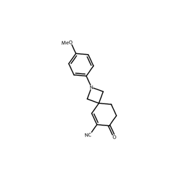 COc1ccc(N2CC3(C=C(C#N)C(=O)CC3)C2)cc1